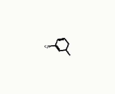 CC1C=C([N+](=O)[O-])C=CC1